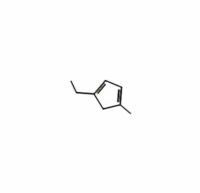 CCC1=CC=C(CO)C1